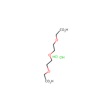 Cl.Cl.O=C(O)COCCOCCOCC(=O)O